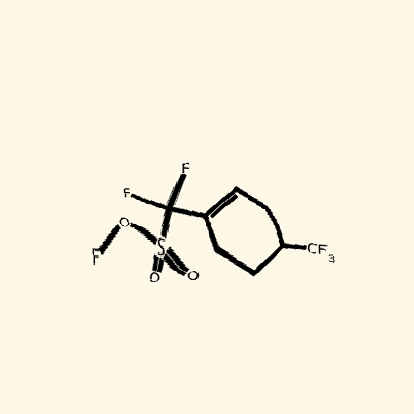 O=S(=O)(OF)C(F)(F)C1=CCC(C(F)(F)F)CC1